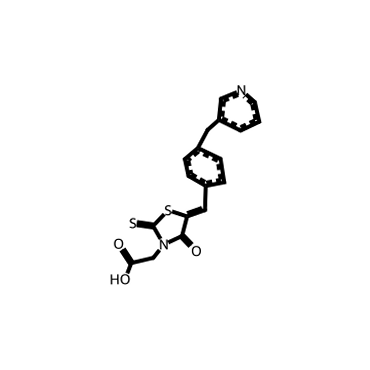 O=C(O)CN1C(=O)C(=Cc2ccc(Cc3cccnc3)cc2)SC1=S